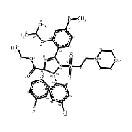 CCOC(=O)[C@@]1(c2ccc(Cl)cc2)N=C(c2ccc(OC)cc2OC(C)C)N(S(=O)(=O)CCN2CCOCC2)[C@@H]1c1ccc(Cl)cc1